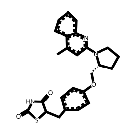 Cc1cc(N2CCC[C@@H]2COc2ccc(CC3SC(=O)NC3=O)cc2)nc2ccccc12